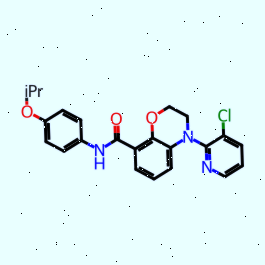 CC(C)Oc1ccc(NC(=O)c2cccc3c2OCCN3c2ncccc2Cl)cc1